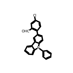 O=Cc1cc(Cl)ccc1-c1ccc2c(c1)c1ccccc1n2-c1ccccc1